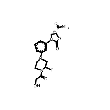 NC(=O)[C@H]1CN(c2cccc(N3CCN(C(=O)CO)C(F)C3)c2)C(=O)O1